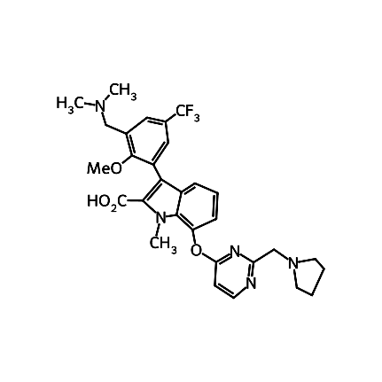 COc1c(CN(C)C)cc(C(F)(F)F)cc1-c1c(C(=O)O)n(C)c2c(Oc3ccnc(CN4CCCC4)n3)cccc12